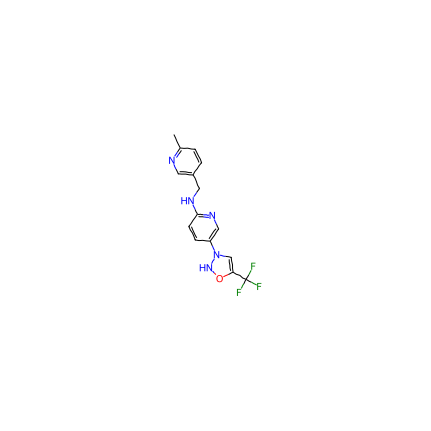 Cc1ccc(CNc2ccc(N3C=C(C(F)(F)F)ON3)cn2)cn1